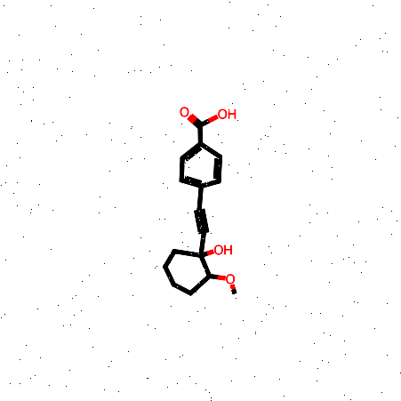 COC1CCCCC1(O)C#Cc1ccc(C(=O)O)cc1